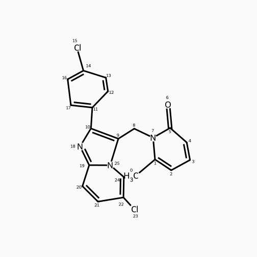 Cc1cccc(=O)n1Cc1c(-c2ccc(Cl)cc2)nc2ccc(Cl)cn12